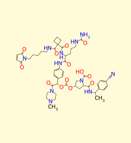 CC(NC(=O)C1CC(OC(=O)OC(C(=O)N2CCN(C)CC2)c2ccc(NC(=O)C(CCCNC(N)=O)NC(=O)C3(C(=O)NCCCCCN4C(=O)C=CC4=O)CCC3)cc2)CN1C(=O)O)c1ccc(C#N)cc1